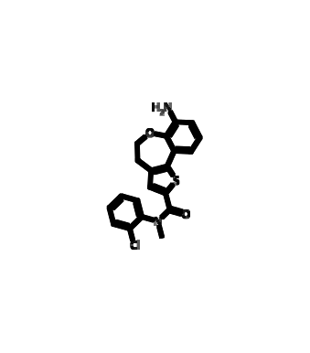 CN(C(=O)c1cc2c(s1)-c1cccc(N)c1OCC2)c1ccccc1Cl